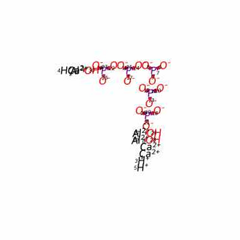 [Ca+2].[Ca+2].[Ca+2].[H+].[H+].[H+].[O-]P([O-])[O-].[O-]P([O-])[O-].[O-]P([O-])[O-].[O-]P([O-])[O-].[O-]P([O-])[O-].[OH][Al+2].[OH][Al+2].[OH][Al+2]